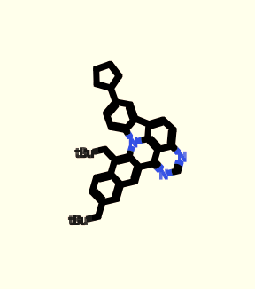 CC(C)(C)Cc1ccc2c(CC(C)(C)C)c3c(cc2c1)c1ncnc2ccc4c5cc(C6CCCC6)ccc5n3c4c21